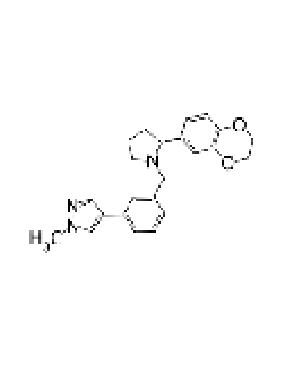 Cn1cc(-c2cccc(CN3CCC[C@H]3c3ccc4c(c3)OCCO4)c2)cn1